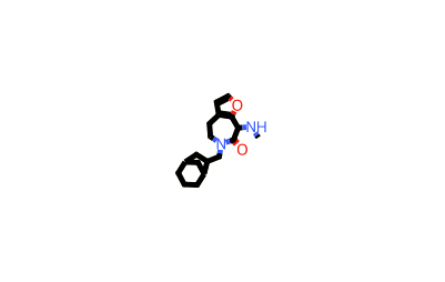 CNC1C(=O)N(CC2CC3CCCC2C3)CCc2ccoc21